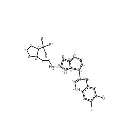 ON=C(Nc1ccc(F)c(Cl)c1)c1ccnc2nc(NCCN3CCCC3C(F)(F)F)[nH]c12